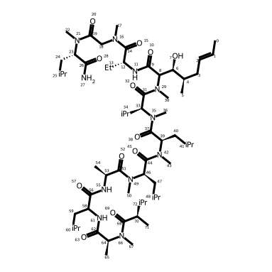 C/C=C/C[C@@H](C)[C@H](O)C(C(=O)N[C@H](CC)C(=O)N(C)CC(=O)N(C)[C@@H](CC(C)C)C(N)=O)N(C)C(=O)[C@H](C(C)C)N(C)C(=O)[C@@H](CC(C)C)N(C)C(=O)[C@@H](CC(C)C)N(C)C(=O)[C@H](C)NC(=O)C(CC(C)C)NC(=O)[C@H](C)N(C)C(=O)[C@H](C)C(C)C